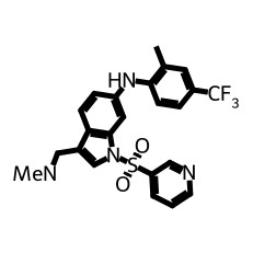 CNCc1cn(S(=O)(=O)c2cccnc2)c2cc(Nc3ccc(C(F)(F)F)cc3C)ccc12